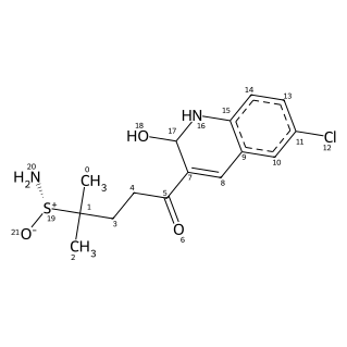 CC(C)(CCC(=O)C1=Cc2cc(Cl)ccc2NC1O)[S@@+](N)[O-]